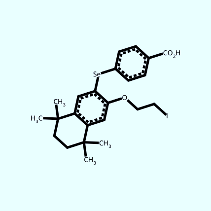 CC1(C)CCC(C)(C)c2cc([Se]c3ccc(C(=O)O)cc3)c(OCCI)cc21